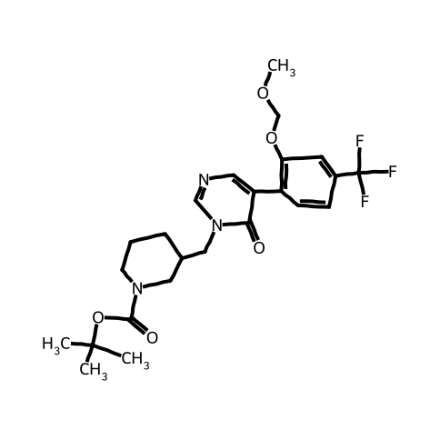 COCOc1cc(C(F)(F)F)ccc1-c1cncn(CC2CCCN(C(=O)OC(C)(C)C)C2)c1=O